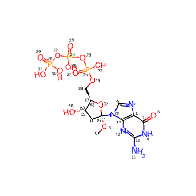 CO[C@]1(n2cnc3c(=O)[nH]c(N)nc32)C[C@H](O)[C@@H](COP(=O)(O)OP(=O)(O)OP(=O)(O)O)O1